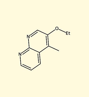 CCOc1cnc2ncccc2c1C